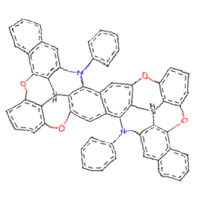 c1ccc(N2c3cc4ccccc4c4c3[SiH]3c5c(cccc5O4)Oc4cc5c6c7c(cc5c2c43)Oc2cccc3c2[SiH]7c2c(cc4ccccc4c2O3)N6c2ccccc2)cc1